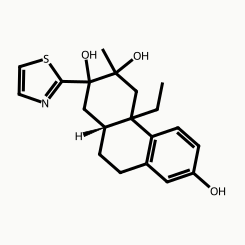 CCC12CC(C)(O)C(O)(c3nccs3)C[C@H]1CCc1cc(O)ccc12